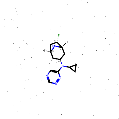 F[C@H]1C[C@@H]2C[C@@H](N(c3cncnn3)C3CC3)C[C@H]1N2